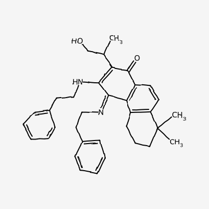 CC(CO)C1=C(NCCc2ccccc2)C(=NCCc2ccccc2)c2c(ccc3c2CCCC3(C)C)C1=O